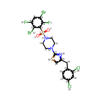 O=S(=O)(c1c(F)c(Br)cc(F)c1Br)N1CCN(c2nc(Cc3ccc(Cl)cc3Cl)cs2)CC1